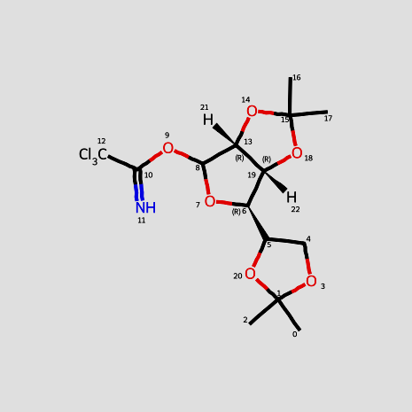 CC1(C)OCC([C@H]2OC(OC(=N)C(Cl)(Cl)Cl)[C@@H]3OC(C)(C)O[C@H]23)O1